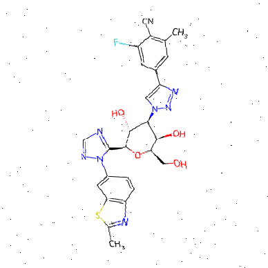 Cc1nc2ccc(-n3ncnc3[C@@H]3O[C@H](CO)[C@H](O)[C@H](n4cc(-c5cc(C)c(C#N)c(F)c5)nn4)[C@H]3O)cc2s1